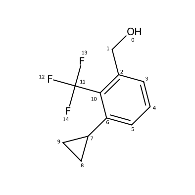 OCc1cccc(C2CC2)c1C(F)(F)F